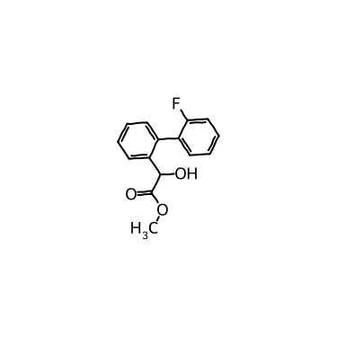 COC(=O)C(O)c1ccccc1-c1ccccc1F